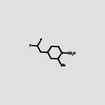 CC(C)(C)C1CN(CC(F)F)CCN1C(=O)O